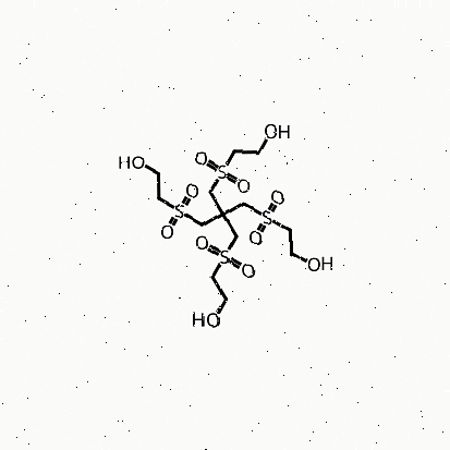 O=S(=O)(CCO)CC(CS(=O)(=O)CCO)(CS(=O)(=O)CCO)CS(=O)(=O)CCO